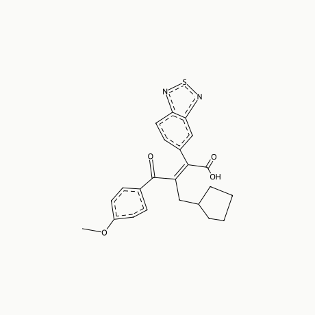 COc1ccc(C(=O)C(CC2CCCC2)=C(C(=O)O)c2ccc3nsnc3c2)cc1